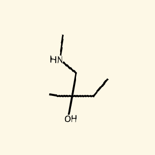 CCC(C)(O)CNC